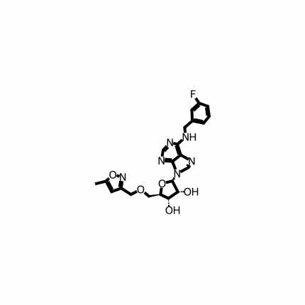 Cc1cc(COC[C@H]2O[C@@H](n3cnc4c(NCc5cccc(F)c5)ncnc43)[C@H](O)[C@@H]2O)no1